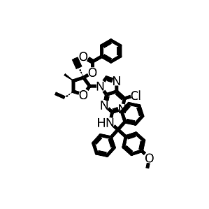 C#C[C@]1(OC(=O)c2ccccc2)C(n2cnc3c(Cl)nc(NC(c4ccccc4)(c4ccccc4)c4ccc(OC)cc4)nc32)O[C@H](CC)[C@H]1C